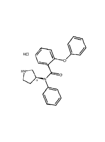 Cl.O=C(c1ccccc1Oc1ccccc1)N(c1ccccc1)[C@H]1CCNC1